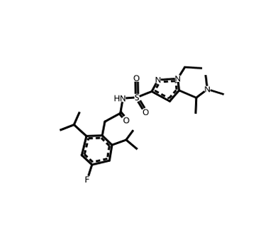 CCn1nc(S(=O)(=O)NC(=O)Cc2c(C(C)C)cc(F)cc2C(C)C)cc1C(C)N(C)C